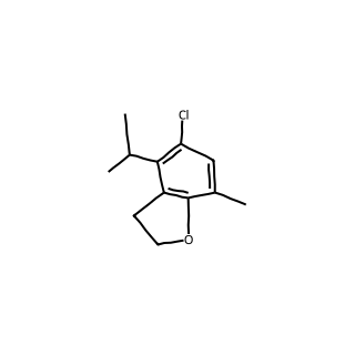 Cc1cc(Cl)c(C(C)C)c2c1OCC2